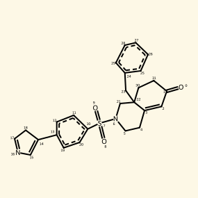 O=C1C=C2CCN(S(=O)(=O)c3ccc(C4=CN=CC4)cc3)CC2(Cc2ccccc2)CC1